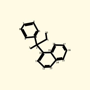 [CH2]CC(C)(c1ccccc1)c1cccc2ccccc12